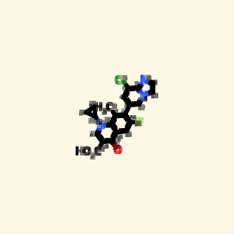 Cc1c(-c2cc(Cl)c3nccn3c2)c(F)cc2c(=O)c(C(=O)O)cn(C3CC3)c12